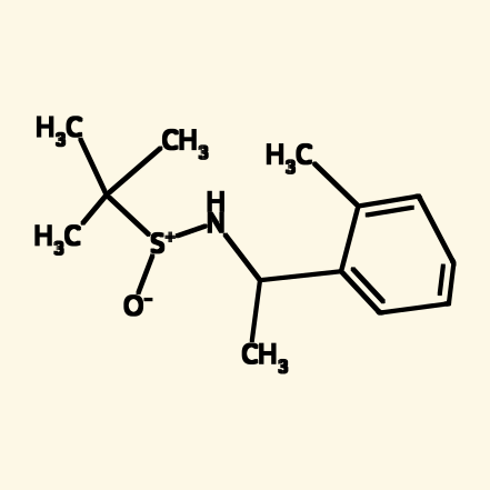 Cc1ccccc1C(C)N[S+]([O-])C(C)(C)C